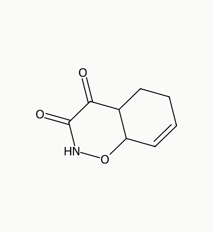 O=C1NOC2C=CCCC2C1=O